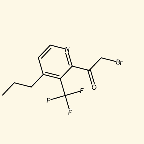 CCCc1ccnc(C(=O)CBr)c1C(F)(F)F